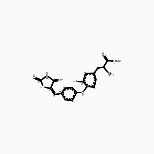 COC(=O)C(N)Cc1ccc(Oc2ccc(C=C3SC(=O)NC3=O)cc2)c(F)c1